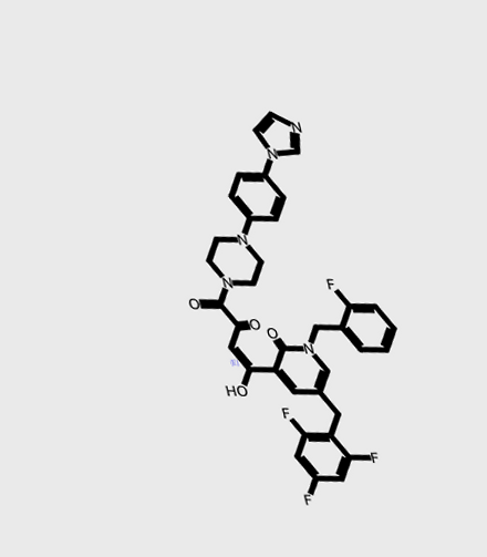 O=C(/C=C(/O)c1cc(Cc2c(F)cc(F)cc2F)cn(Cc2ccccc2F)c1=O)C(=O)N1CCN(c2ccc(-n3ccnc3)cc2)CC1